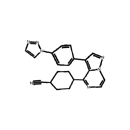 N#CC1CCC(c2nccn3ncc(-c4ccc(-n5ccnn5)cc4)c23)CC1